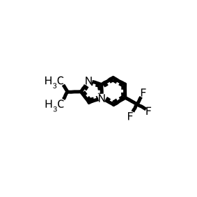 CC(C)c1cn2cc(C(F)(F)F)ccc2n1